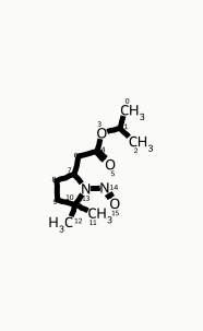 CC(C)OC(=O)CC1CCC(C)(C)N1N=O